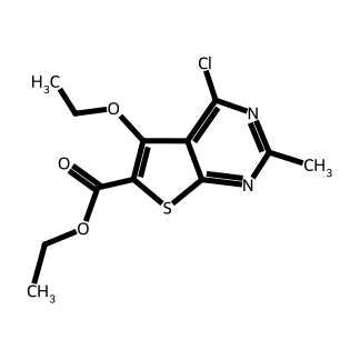 CCOC(=O)c1sc2nc(C)nc(Cl)c2c1OCC